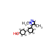 Cc1cnn(C)c1C1=CC([C@H]2CC[C@H](O)CC2)CC=C1